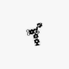 CC(C)C1CCC(N2CCC(N3C(=O)N(CCN4CCOCC4)Cc4cc(Cl)c(Cl)cc43)CC2)CC1